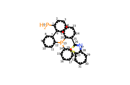 Pc1ccccc1-c1ccccc1P(c1ccccc1)c1ccccc1-c1nc2ccccc2s1